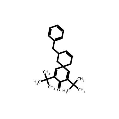 CC(C)(C)C1=CC2(C=C(C(C)(C)C)C1=O)CC=CC(Cc1ccccc1)C2